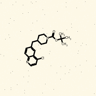 CC(C)(C)OC(=O)N1CCC(Cc2ccc3nccc(Cl)c3c2)CC1